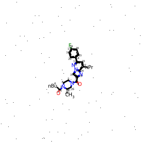 CCCCC(=O)N1CCN(C(=O)c2cn3nc(-c4ccc(F)cc4)cc(C(C)C)c3n2)C[C@@H]1C